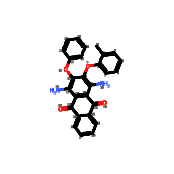 Cc1ccccc1Oc1c(N)c2c(c(N)c1Oc1ccccc1)C(=O)c1ccccc1C2=O